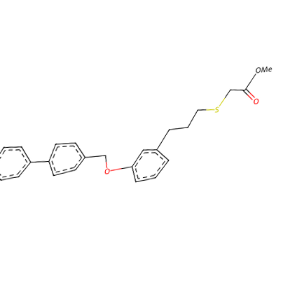 COC(=O)CSCCCc1cccc(OCc2ccc(-c3ccccc3)cc2)c1